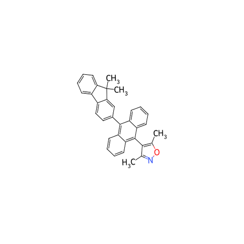 Cc1noc(C)c1-c1c2ccccc2c(-c2ccc3c(c2)C(C)(C)c2ccccc2-3)c2ccccc12